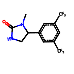 CN1C(=O)NCC1c1cc(C(F)(F)F)cc(C(F)(F)F)c1